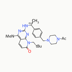 CNc1nc(N[C@@H](C)c2ccc(CN3CCN(C(C)=O)CC3)cc2)nc2c1ccc(=O)n2CC(C)(C)C